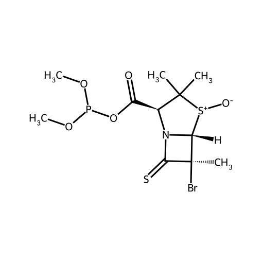 COP(OC)OC(=O)[C@@H]1N2C(=S)[C@](C)(Br)[C@H]2[S+]([O-])C1(C)C